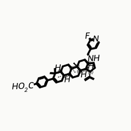 C=C(C)[C@@H]1CC[C@]2(NCc3ccnc(F)c3)CC[C@]3(C)[C@H](CC[C@@H]4[C@@]5(C)CC=C(c6ccc(C(=O)O)cc6)C(C)(C)[C@@H]5CC[C@]43C)[C@@H]12